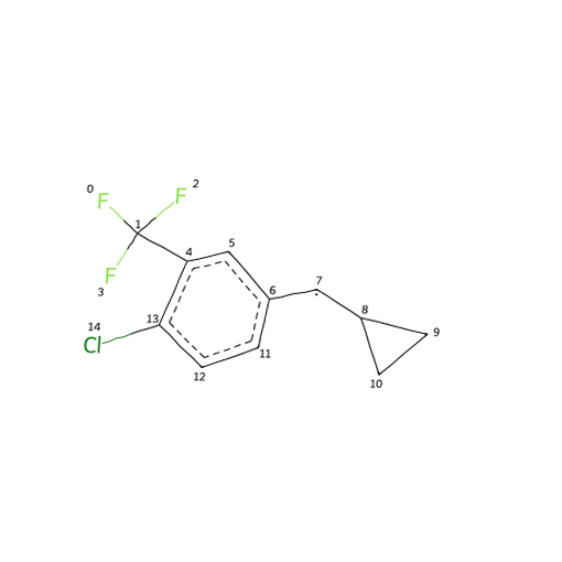 FC(F)(F)c1cc([CH]C2CC2)ccc1Cl